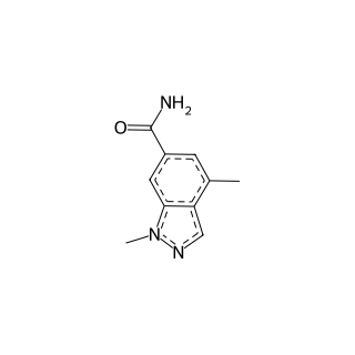 Cc1cc(C(N)=O)cc2c1cnn2C